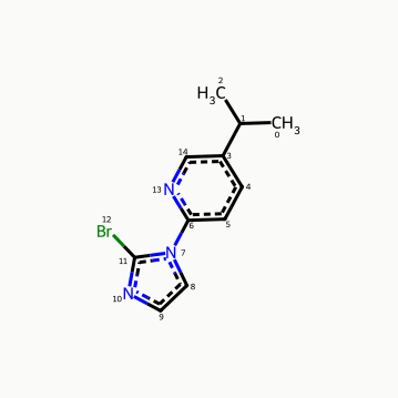 CC(C)c1ccc(-n2ccnc2Br)nc1